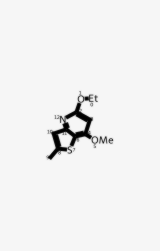 CCOc1cc(OC)c2sc(C)cc2n1